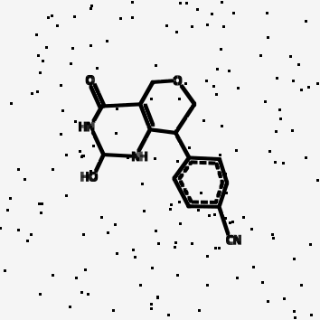 N#Cc1ccc(C2COCC3=C2NC(O)NC3=O)cc1